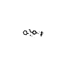 CC(C)(C)OC(=O)N1C(c2ccc(B3OC(C)(C)C(C)(C)O3)cc2)COC2CCCCC21